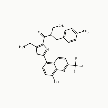 CCN(Cc1ccc(C)cc1)C(=O)c1nc(-c2ccc(O)c3nc(C(F)(F)F)ccc23)oc1CN